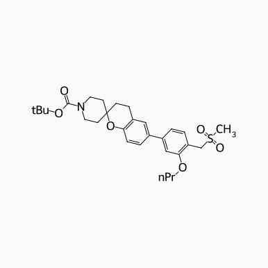 CCCOc1cc(-c2ccc3c(c2)CCC2(CCN(C(=O)OC(C)(C)C)CC2)O3)ccc1CS(C)(=O)=O